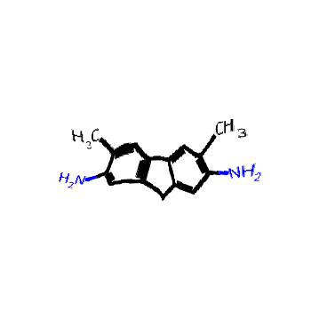 Cc1cc2c(cc1N)Cc1cc(N)c(C)cc1-2